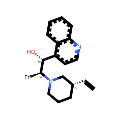 C=C[C@@H]1CCCN([C@@H](CC)[C@H](O)c2ccnc3ccccc23)C1